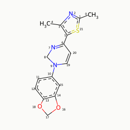 Cc1nc(C)c(C2=NCN(c3ccc4c(c3)OCO4)C=C2)s1